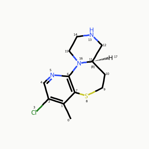 Cc1c(Cl)cnc2c1SCC[C@@H]1CNCCN21